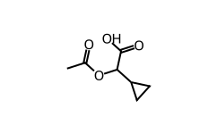 CC(=O)OC(C(=O)O)C1CC1